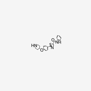 O=C(Nc1ccccc1)c1cnc(-c2ccc(OC3CCNCC3)cc2)s1